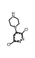 Clc1cc(N2CCNCC2)c(Cl)nn1